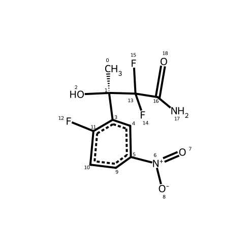 C[C@@](O)(c1cc([N+](=O)[O-])ccc1F)C(F)(F)C(N)=O